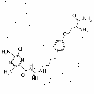 N=C(NCCCCc1ccc(OCCC(N)C(N)=O)cc1)NC(=O)c1nc(Cl)c(N)nc1N